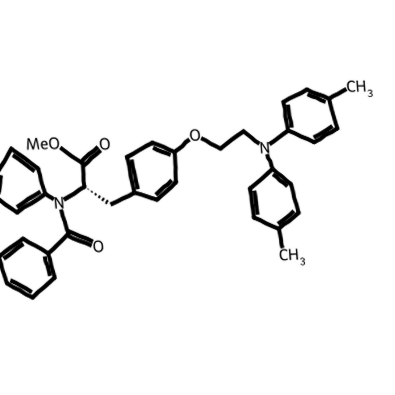 COC(=O)[C@H](Cc1ccc(OCCN(c2ccc(C)cc2)c2ccc(C)cc2)cc1)N(C(=O)c1ccccc1)c1ccccc1